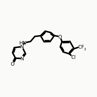 O=c1ccn(NCCc2ccc(Oc3ccc(Cl)c(C(F)(F)F)c3)cc2)cn1